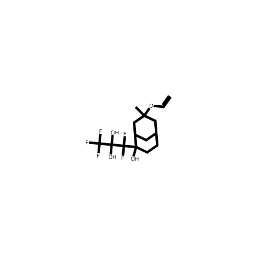 C=COC1(C)CC2CCC(O)(C(F)(F)C(O)(O)C(F)(F)F)C(C2)C1